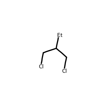 CCC(CCl)CCl